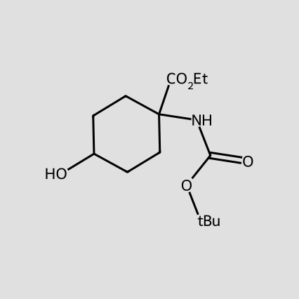 CCOC(=O)C1(NC(=O)OC(C)(C)C)CCC(O)CC1